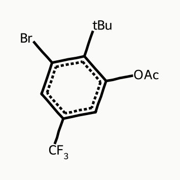 CC(=O)Oc1cc(C(F)(F)F)cc(Br)c1C(C)(C)C